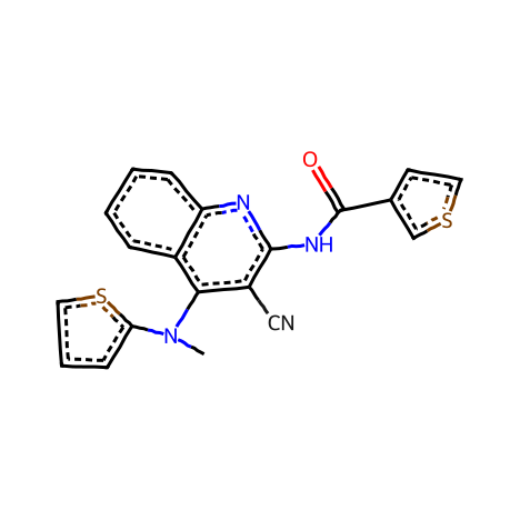 CN(c1cccs1)c1c(C#N)c(NC(=O)c2ccsc2)nc2ccccc12